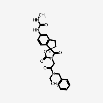 CCN(Cc1ccccc1)C(=O)CN1C(=O)O[C@@]2(CCc3cc(NC(=O)NC)ccc32)C1=O